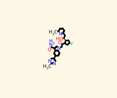 Cc1cccc(CC(O)[C@H]2C[C@@H](F)CC2C(=O)Cn2cc(C(N)=O)c3cc(-c4cnc(C)nc4)ccc32)n1